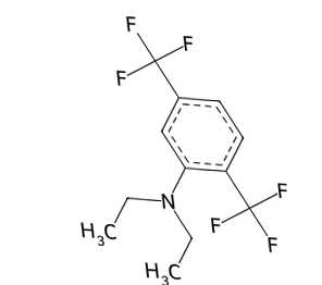 CCN(CC)c1cc(C(F)(F)F)ccc1C(F)(F)F